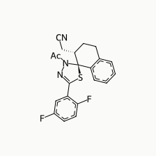 CC(=O)N1N=C(c2cc(F)ccc2F)S[C@@]12c1ccccc1CC[C@H]2CC#N